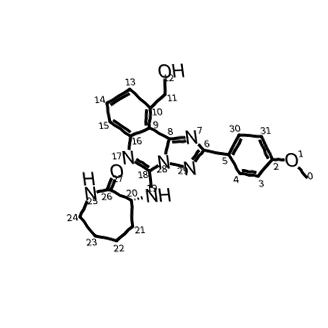 COc1ccc(-c2nc3c4c(CO)cccc4nc(N[C@@H]4CCCCNC4=O)n3n2)cc1